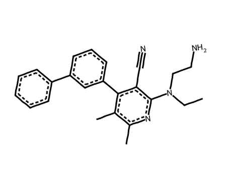 CCN(CCN)c1nc(C)c(C)c(-c2cccc(-c3ccccc3)c2)c1C#N